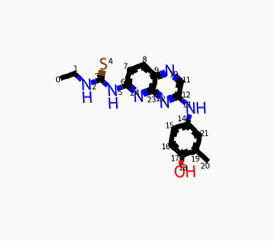 CCNC(=S)Nc1ccc2ncc(Nc3ccc(O)c(C)c3)nc2n1